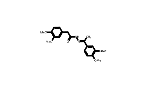 COc1ccc(CC(=O)N/N=C(\C)c2ccc(OC)c(OC)c2)cc1OC